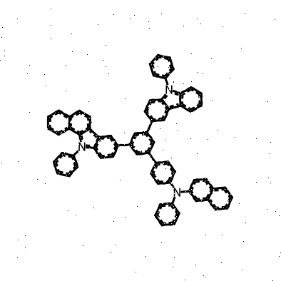 c1ccc(N(c2ccc(-c3cc(-c4ccc5c(c4)c4ccccc4n5-c4ccccc4)cc(-c4ccc5c(c4)c4ccc6ccccc6c4n5-c4ccccc4)c3)cc2)c2ccc3ccccc3c2)cc1